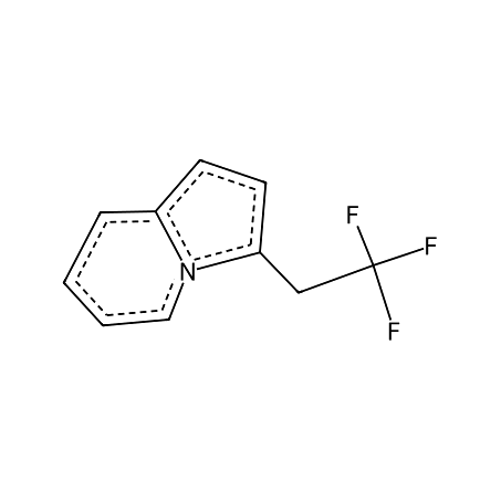 FC(F)(F)Cc1ccc2ccccn12